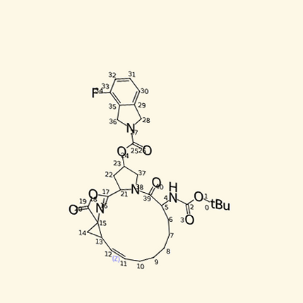 CC(C)(C)OC(=O)NC1CCCCC/C=C\C2CC23N=C(OC3=O)C2CC(OC(=O)N3Cc4cccc(F)c4C3)CN2C1=O